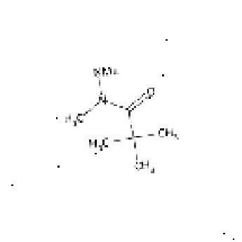 CNN(C)C(=O)C(C)(C)C